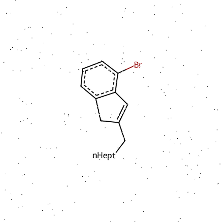 CCCCCCCCC1=Cc2c(Br)cccc2C1